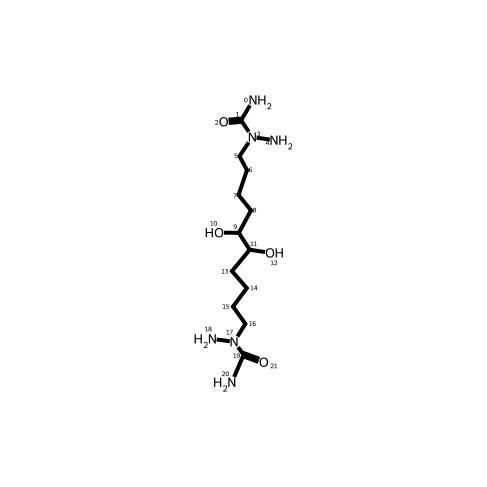 NC(=O)N(N)CCCCC(O)C(O)CCCCN(N)C(N)=O